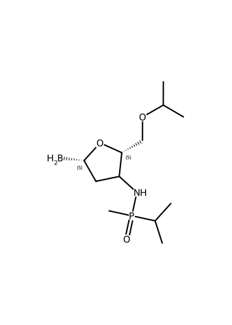 B[C@H]1CC(NP(C)(=O)C(C)C)[C@@H](COC(C)C)O1